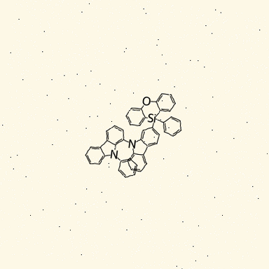 c1ccc(-n2c3ccccc3c3cccc(-n4c5ccccc5c5ccc([Si]6(c7ccccc7)c7ccccc7Oc7ccccc76)cc54)c32)cc1